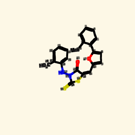 CSc1ccccc1-c1ccc(C=C2SC(=S)N(Nc3ccccc3C(=O)O)C2=O)o1